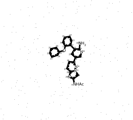 CC(=O)Nc1cn2nc(-c3cnc(N)c(-c4ccccc4Oc4ccccc4)c3)ccc2n1